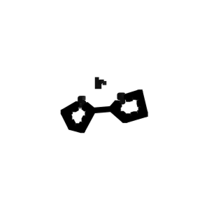 [Ir].c1csc(-c2cccs2)c1